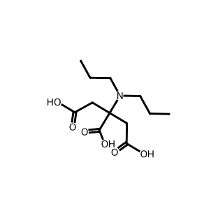 CCCN(CCC)C(CC(=O)O)(CC(=O)O)C(=O)O